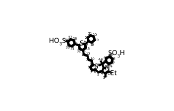 CCC1=C(C)C(=Cc2ccc(C=CC=Cc3cc(-c4ccccc4)[s+]c(-c4ccc(S(=O)(=O)O)cc4)c3)s2)C2=[N+]1c1ccc(S(=O)(=O)O)cc1C2(C)C